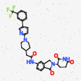 O=C1CCC(N2Cc3cc(NC(=O)CC4CCN(c5ccc(-c6cccc(C(F)(F)F)c6)cn5)CC4)ccc3C2=O)C(=O)N1